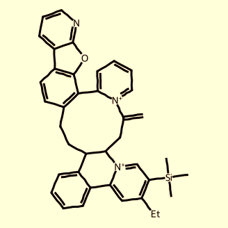 C=C1CC2C(CCc3ccc4c(oc5ncccc54)c3-c3cccc[n+]31)c1ccccc1-c1cc(CC)c([Si](C)(C)C)c[n+]12